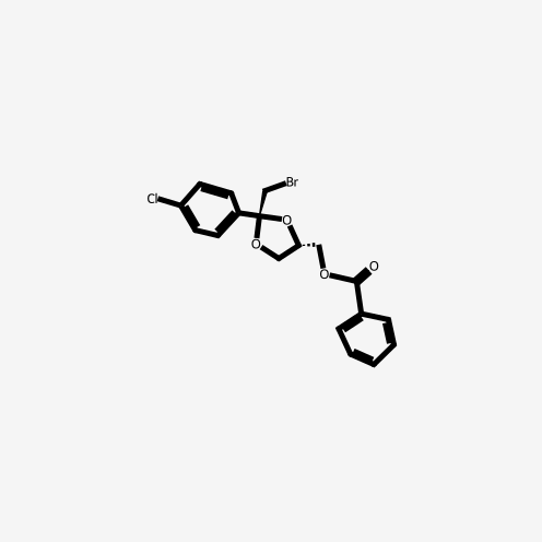 O=C(OC[C@@H]1CO[C@](CBr)(c2ccc(Cl)cc2)O1)c1ccccc1